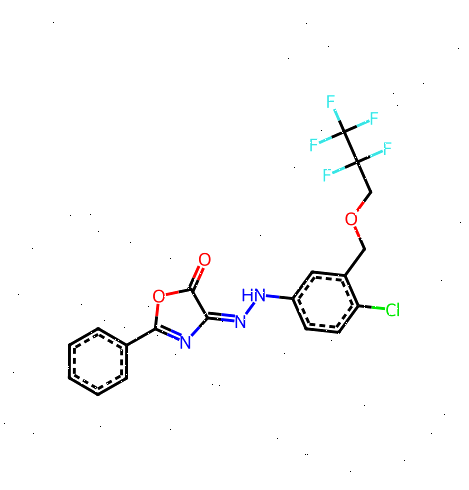 O=C1OC(c2ccccc2)=N/C1=N/Nc1ccc(Cl)c(COCC(F)(F)C(F)(F)F)c1